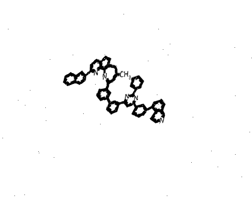 CC1=CC(c2cccc(-c3cccc(-c4cc(-c5cccc(-c6cccc7cnccc67)c5)nc(-c5ccccc5)n4)c3)c2)=Nc2c(ccc3ccc(-c4ccc5ccccc5c4)nc23)C1